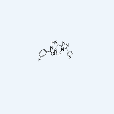 Cn1c(-c2ccsc2)nnc1C(S)c1noc(-c2cccc(F)c2)n1